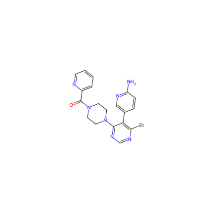 CCc1ncnc(N2CCN(C(=O)c3ccccn3)CC2)c1-c1ccc(N)nc1